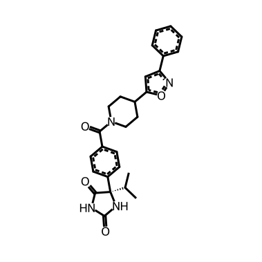 CC(C)[C@]1(c2ccc(C(=O)N3CCC(c4cc(-c5ccccc5)no4)CC3)cc2)NC(=O)NC1=O